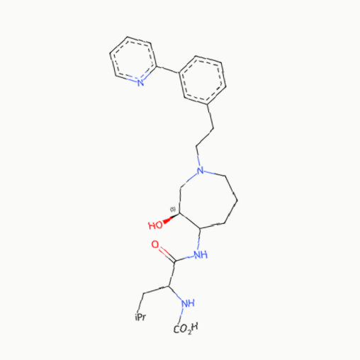 CC(C)CC(NC(=O)O)C(=O)NC1CCCN(CCc2cccc(-c3ccccn3)c2)C[C@@H]1O